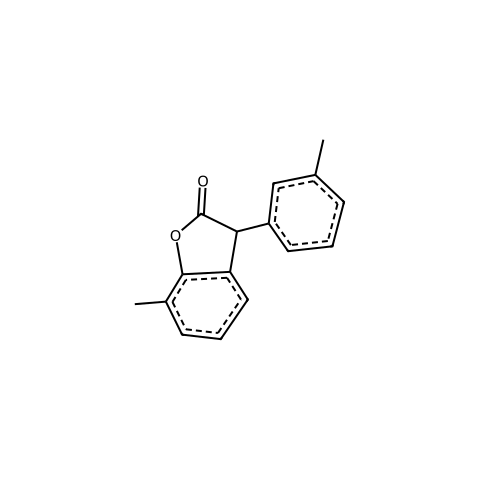 Cc1cccc(C2C(=O)Oc3c(C)cccc32)c1